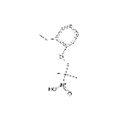 CCc1ccccc1OCC(C)(C)[N+](=O)O